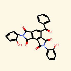 O=C(c1ccccc1)c1cc2c(=O)n(-c3ccccc3O)c(=O)c2c2c(=O)n(-c3ccccc3O)c(=O)c12